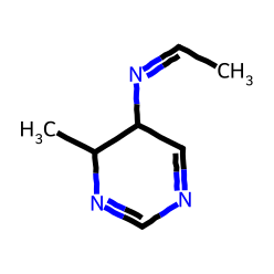 C/C=N\C1C=NC=NC1C